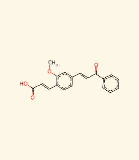 COc1cc(C=CC(=O)c2ccccc2)ccc1C=CC(=O)O